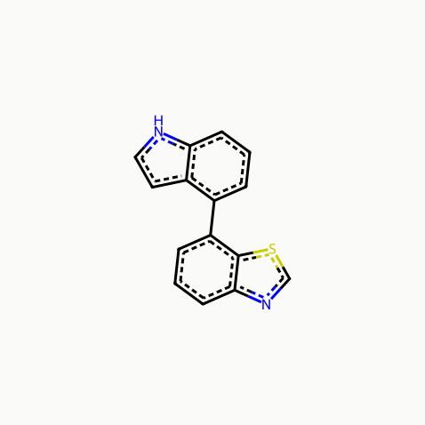 c1cc(-c2cccc3[nH]ccc23)c2scnc2c1